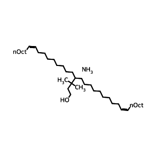 CCCCCCCC/C=C\CCCCCCCCCC(CCCCCCCC/C=C\CCCCCCCC)C(C)(C)CCO.N